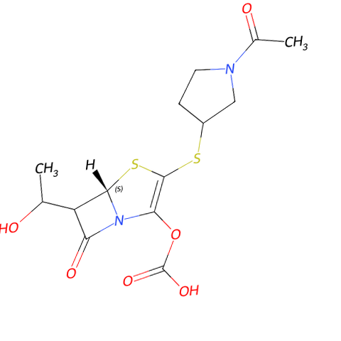 CC(=O)N1CCC(SC2=C(OC(=O)O)N3C(=O)C(C(C)O)[C@@H]3S2)C1